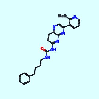 COc1ncccc1-c1cnc2ccc(NC(=O)NCCCCc3ccccc3)nc2n1